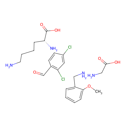 COc1ccccc1CN.NCC(=O)O.NCCCC[C@@H](N)C(=O)O.O=Cc1ccc(Cl)cc1Cl